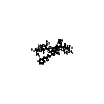 COC(C)(C)C(=O)N/C(=N/C=N)c1ccc([C@]2(C#N)O[C@H](COC(=O)CC3CCCCC3)[C@@H](OC(=O)[C@@H](NC(=O)OC(C)(C)C)C(C)C)[C@H]2O)[nH]1